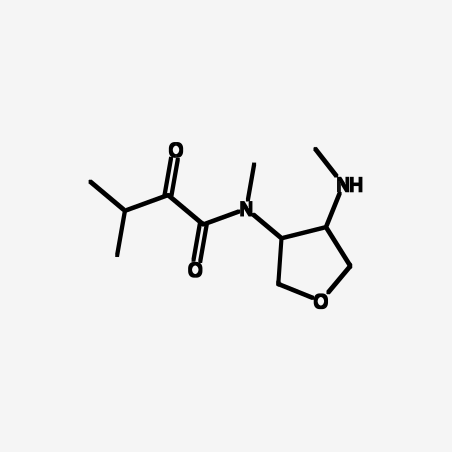 CNC1COCC1N(C)C(=O)C(=O)C(C)C